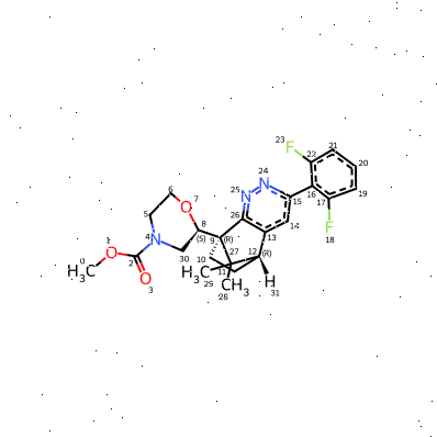 COC(=O)N1CCO[C@@H]([C@@]23CC[C@@H](c4cc(-c5c(F)cccc5F)nnc42)C3(C)C)C1